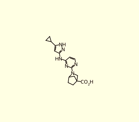 O=C(O)C12CCC(C1)N(c1nccc(Nc3cc(C4CC4)[nH]n3)n1)C2